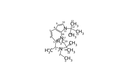 CCN(C(C)c1ccc2ccn(C(C)(C)C)c2n1)C(C)(C)C